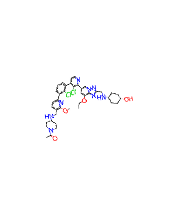 CCOc1cc(-c2nccc(-c3cccc(-c4ccc(CNC5CCN(C(C)=O)CC5)c(OC)n4)c3Cl)c2Cl)cn2nc(CN[C@H]3CC[C@@H](O)CC3)nc12